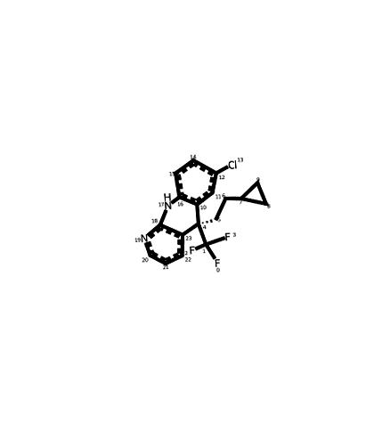 FC(F)(F)[C@]1(CCC2CC2)c2cc(Cl)ccc2Nc2ncccc21